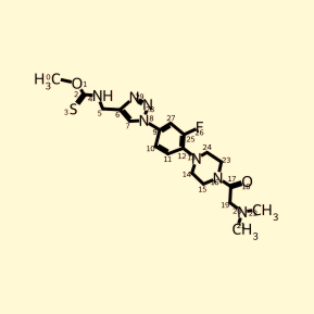 COC(=S)NCc1cn(-c2ccc(N3CCN(C(=O)CN(C)C)CC3)c(F)c2)nn1